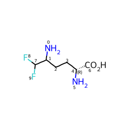 NC(CC[C@@H](N)C(=O)O)C(F)F